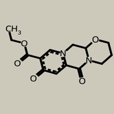 CCOC(=O)c1cn2c(cc1=O)C(=O)N1CCCOC1C2